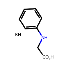 O=C(O)CNc1ccccc1.[KH]